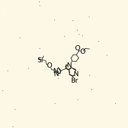 CCOC(=O)C1CCC(n2cc(-c3cnn(COCC[Si](C)(C)C)c3)c3cc(Br)ncc32)CC1